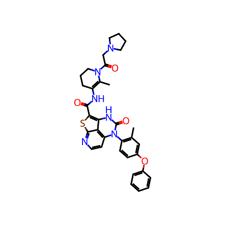 CC1=C(NC(=O)c2sc3nccc4c3c2NC(=O)N4c2ccc(Oc3ccccc3)cc2C)CCCN1C(=O)CN1CCCC1